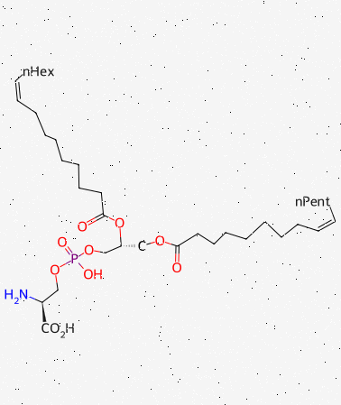 CCCCC/C=C\CCCCCCCC(=O)OC[C@H](COP(=O)(O)OC[C@H](N)C(=O)O)OC(=O)CCCCCCC/C=C\CCCCCC